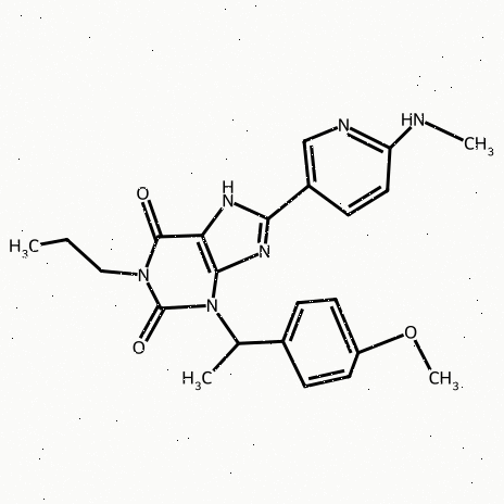 CCCn1c(=O)c2[nH]c(-c3ccc(NC)nc3)nc2n(C(C)c2ccc(OC)cc2)c1=O